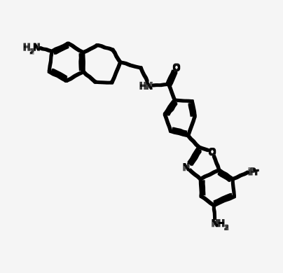 CC(C)c1cc(N)cc2nc(-c3ccc(C(=O)NCC4CCc5ccc(N)cc5CC4)cc3)oc12